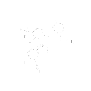 COc1cc(F)ccc1Oc1ccc(C(F)(F)F)c(F)c1N(C=O)c1ccc(F)c(C#N)c1